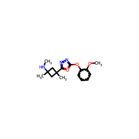 CNC1(C)CC(C)(c2nnc(Oc3ccccc3OC)o2)C1